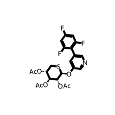 CC(=O)O[C@@H]1[C@@H](OC(C)=O)[C@H](OC(C)=O)CS[C@H]1Oc1cncc(-c2c(F)cc(F)cc2F)c1